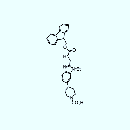 CCn1c(CNC(=O)OCC2c3ccccc3-c3ccccc32)nc2ccc(C3CCN(C(=O)O)CC3)cc21